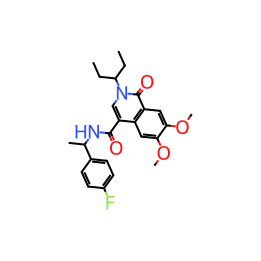 CCC(CC)n1cc(C(=O)NC(C)c2ccc(F)cc2)c2cc(OC)c(OC)cc2c1=O